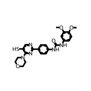 COc1ccc(NC(=O)Nc2ccc(-c3ncc(S)c(N4CCOCC4)n3)cc2)cc1OC